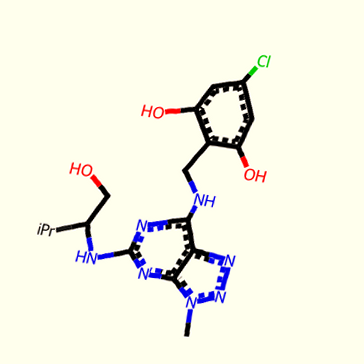 CC(C)C(CO)Nc1nc(NCc2c(O)cc(Cl)cc2O)c2nnn(C)c2n1